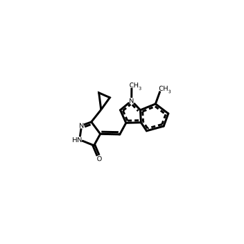 Cc1cccc2c(C=C3C(=O)NN=C3C3CC3)cn(C)c12